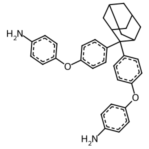 Nc1ccc(Oc2ccc(C3(c4ccc(Oc5ccc(N)cc5)cc4)C4CC5CC(C4)CC3C5)cc2)cc1